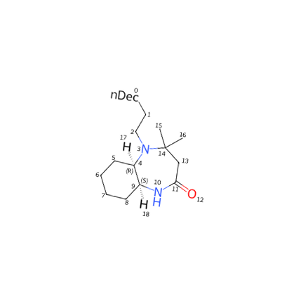 CCCCCCCCCCCCN1[C@@H]2CCCC[C@@H]2NC(=O)CC1(C)C